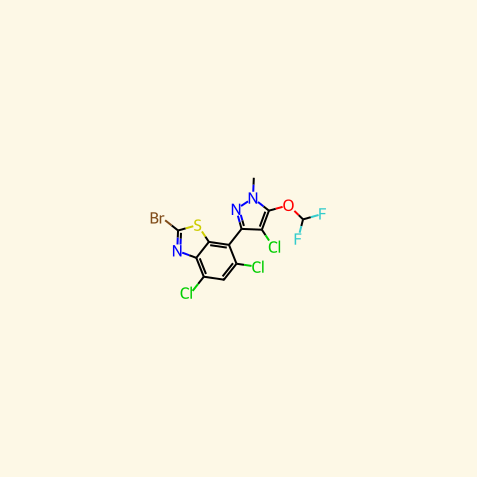 Cn1nc(-c2c(Cl)cc(Cl)c3nc(Br)sc23)c(Cl)c1OC(F)F